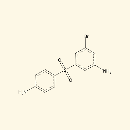 Nc1ccc(S(=O)(=O)c2cc(N)cc(Br)c2)cc1